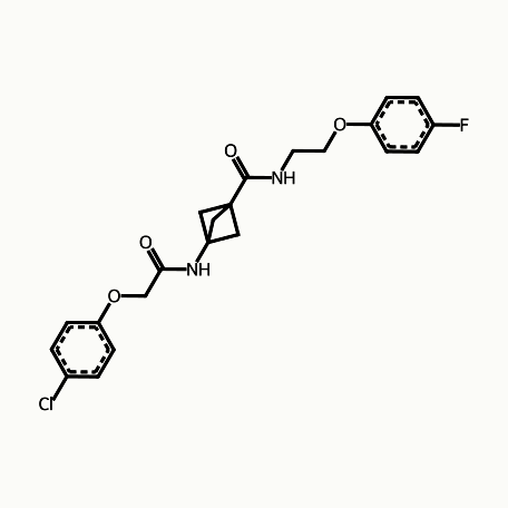 O=C(COc1ccc(Cl)cc1)NC12CC(C(=O)NCCOc3ccc(F)cc3)(C1)C2